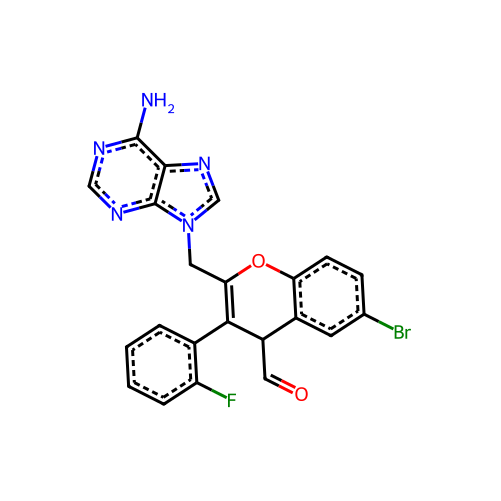 Nc1ncnc2c1ncn2CC1=C(c2ccccc2F)C(C=O)c2cc(Br)ccc2O1